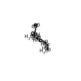 CC(=O)NCC(F)(F)CNC(=O)OCc1ccc(NC(=O)CNC(=O)C(NC(=O)CCCCCN2C(=O)C=CC2=O)C(C)C)cc1